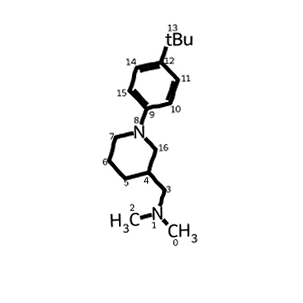 CN(C)CC1CCCN(c2ccc(C(C)(C)C)cc2)C1